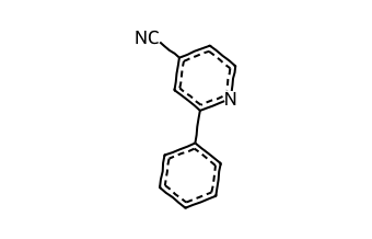 N#Cc1ccnc(-c2ccccc2)c1